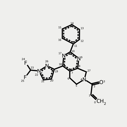 C=CC(=O)N1CCc2c(nc(-c3ccccc3)nc2-c2ccn(C(F)F)n2)C1